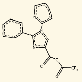 O=C(OC(=O)C(F)(F)F)c1cn(-c2ccccn2)c(-c2ccccc2)n1